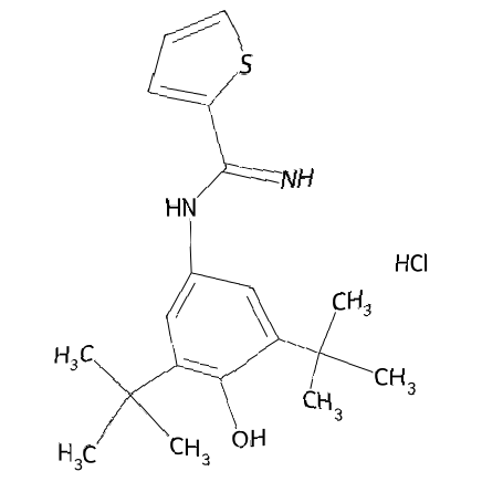 CC(C)(C)c1cc(NC(=N)c2cccs2)cc(C(C)(C)C)c1O.Cl